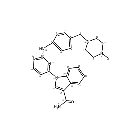 CN1CCN(Cc2ccc(Nc3nccc(-n4cc(C(N)=O)c5ccccc54)n3)cc2)CC1